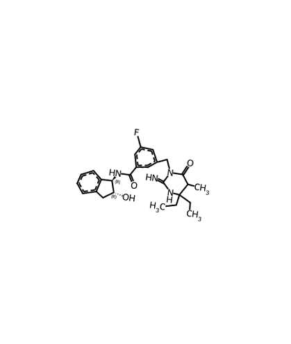 CCC1(CC)NC(=N)N(Cc2cc(F)cc(C(=O)N[C@@H]3c4ccccc4C[C@H]3O)c2)C(=O)C1C